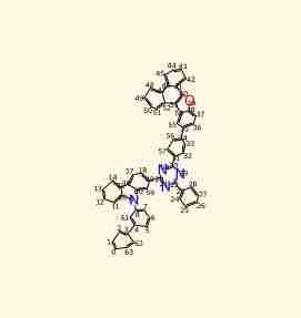 c1ccc(-c2cccc(-n3c4ccccc4c4ccc(-c5nc(-c6ccccc6)nc(-c6ccc(-c7ccc8oc9c%10ccccc%10c%10ccccc%10c9c8c7)cc6)n5)cc43)c2)cc1